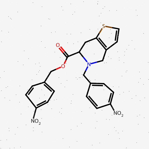 O=C(OCc1ccc([N+](=O)[O-])cc1)C1Cc2sccc2CN1Cc1ccc([N+](=O)[O-])cc1